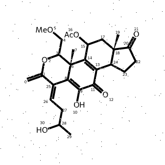 C=C1OC(COC)[C@@]2(C)C(=C(O)C(=O)C3=C2C(OC(C)=O)C[C@]2(C)C(=O)CCC32)/C1=C\CC(C)O